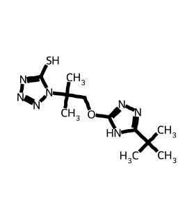 CC(C)(C)c1nnc(OCC(C)(C)n2nnnc2S)[nH]1